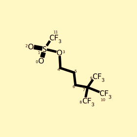 O=S(=O)(OCCCC(C(F)(F)F)(C(F)(F)F)C(F)(F)F)C(F)(F)F